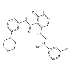 O=C(Nc1cccc(N2CCOCC2)c1)c1c(NC[C@@H](O)c2cccc(Cl)c2)cc[nH]c1=O